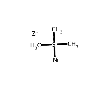 C[Si](C)(C)[Ni].[Zn]